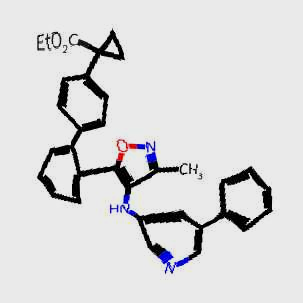 CCOC(=O)C1(c2ccc(-c3ccccc3-c3onc(C)c3Nc3cncc(-c4ccccc4)c3)cc2)CC1